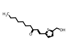 CCCCCCCC(=O)C=Cc1ccc(CO)s1